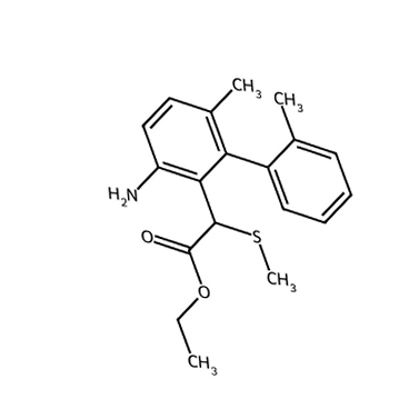 CCOC(=O)C(SC)c1c(N)ccc(C)c1-c1ccccc1C